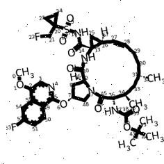 COc1cnc(O[C@@H]2C[C@H]3C(=O)N[C@]4(C(=O)NS(=O)(=O)C5(CF)CC5)C[C@H]4/C=C\CC[C@H](C)C[C@@H](C)[C@H](NC(=O)OC(C)(C)C)C(=O)N3C2)c2ccc(F)cc12